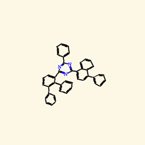 c1ccc(-c2nc(-c3cccc(-c4ccccc4)c3-c3ccccc3)nc(-c3ccc(-c4ccccc4)c4ccccc34)n2)cc1